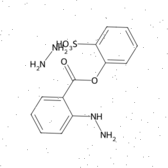 NN.NNc1ccccc1C(=O)Oc1ccccc1S(=O)(=O)O